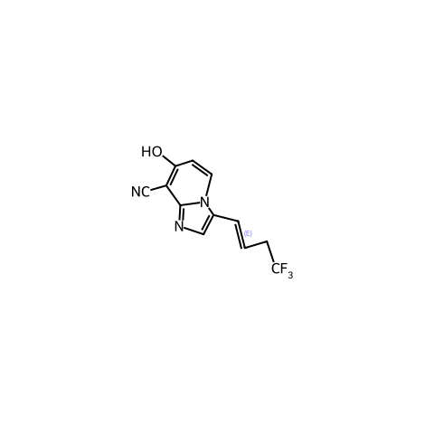 N#Cc1c(O)ccn2c(/C=C/CC(F)(F)F)cnc12